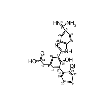 N=C(N)c1ccc2[nH]c(-c3cc(CC(=O)O)cc(-c4ccccc4O)c3O)nc2c1